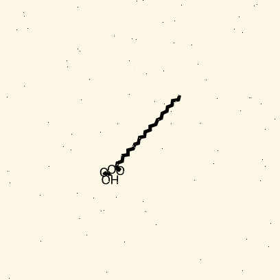 CCCCCCCCCCCCCCCCCCCCCCCC(=O)OCC(=O)O